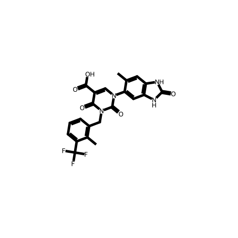 Cc1cc2[nH]c(=O)[nH]c2cc1-n1cc(C(=O)O)c(=O)n(Cc2cccc(C(F)(F)F)c2C)c1=O